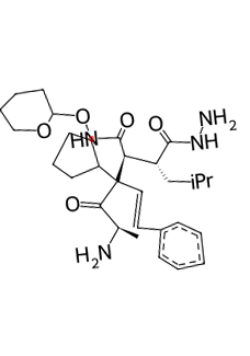 CC(C)C[C@@H](C(=O)NN)[C@H](C(=O)NOC1CCCCO1)C(/C=C/c1ccccc1)(C(=O)[C@@H](C)N)C1CCCC1